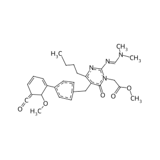 CCCCc1nc(N=CN(C)C)n(CC(=O)OC)c(=O)c1Cc1ccc(C2=CC=CC(=C=O)C2OC)cc1